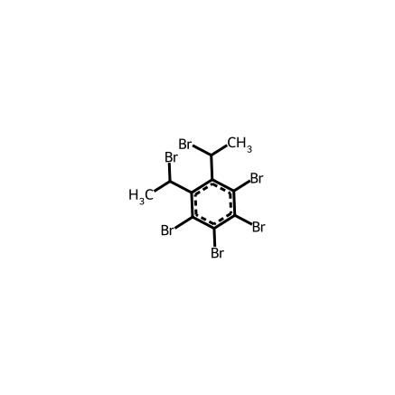 CC(Br)c1c(Br)c(Br)c(Br)c(Br)c1C(C)Br